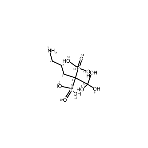 NCCCC(C(O)(O)O)(P(=O)(O)O)P(=O)(O)O